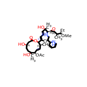 CC[C@H](OC)[C@@H](C)[C@H]1O[C@@H]1C(NCCC1C=CC=CN1)C(C)(O)/C=C/C=C(\C)C1OC(=O)C[C@H](O)CC[C@@](C)(O)[C@@H](OC(C)=O)/C=C/[C@@H]1C